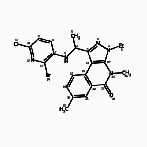 CCn1nc(C(C)Nc2ccc(Cl)nc2Br)c2c3ccc(C)cc3c(=O)n(C)c21